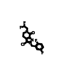 O=C1c2nn(Cc3cc(F)ccc3F)c(Cl)c2CCN1CC(F)F